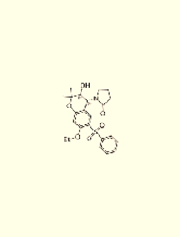 CCOc1cc2c(cc1S(=O)(=O)c1ccccc1)[C@@H](N1CCCC1=O)[C@H](O)C(C)(C)O2